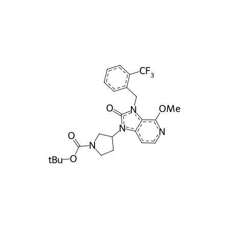 COc1nccc2c1n(Cc1ccccc1C(F)(F)F)c(=O)n2C1CCN(C(=O)OC(C)(C)C)C1